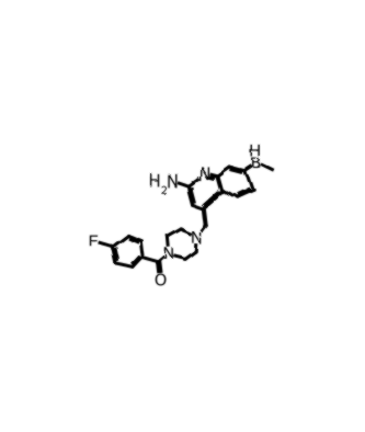 CBc1ccc2c(CN3CCN(C(=O)c4ccc(F)cc4)CC3)cc(N)nc2c1